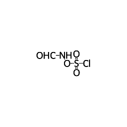 O=CNOS(=O)(=O)Cl